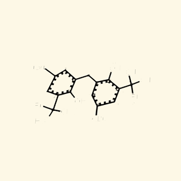 CCC(C)(C)c1cc(C(C)(C)C)cc(Cc2cc(C(C)(C)C)cc(C(C)(C)CC)c2O)c1O